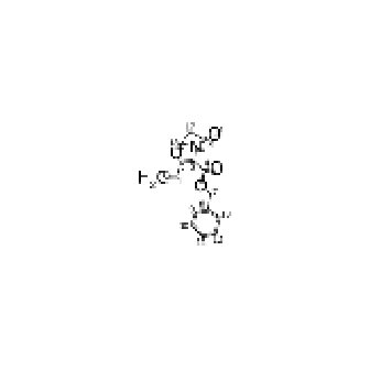 C=CC1=C(C(=O)OCc2ccccc2)N2C(=O)CC2O1